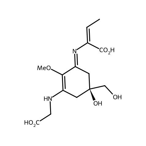 C/C=C(/N=C1\C[C@](O)(CO)CC(NCC(=O)O)=C1OC)C(=O)O